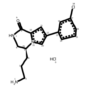 Cl.NCCC[C@H]1CNC(=O)c2cc(-c3cccc(Cl)c3)cn21